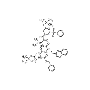 CC(C)[C@H](NC(=O)[C@H](CCc1ccc2ccccc2n1)NC(=O)[C@H](CC(=O)OC(C)(C)C)NC(=O)OCc1ccccc1)C(=O)N[C@H](/C=C/S(=O)(=O)c1ccccc1)CC(=O)OC(C)(C)C